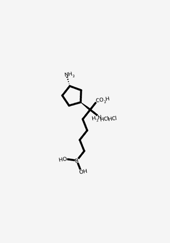 Cl.Cl.N[C@H]1CC[C@H](C(N)(CCCCB(O)O)C(=O)O)C1